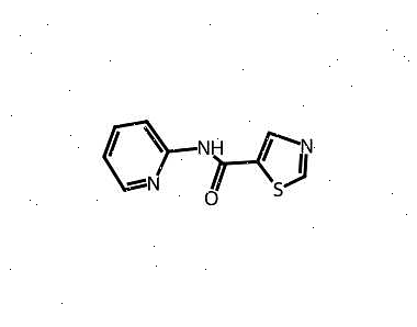 O=C(Nc1ccccn1)c1cncs1